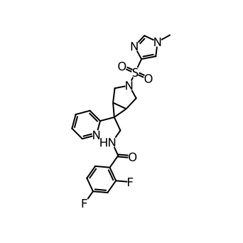 Cn1cnc(S(=O)(=O)N2CC3C(C2)C3(CNC(=O)c2ccc(F)cc2F)c2ccccn2)c1